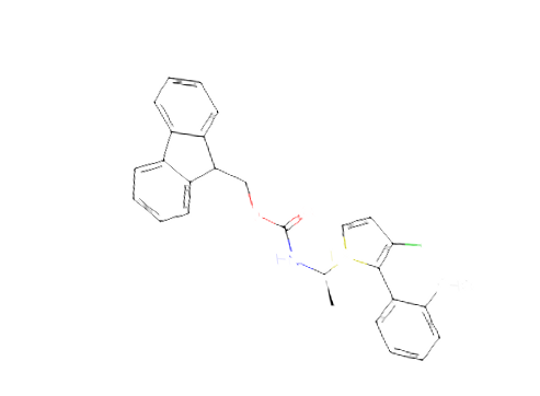 C[C@@H](NC(=O)OCC1c2ccccc2-c2ccccc21)[SH]1C=CC(Cl)=C1c1ccccc1C=O